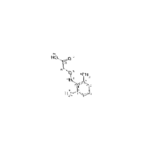 Cc1cccc(C)c1NOCC(=O)O